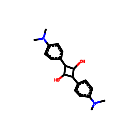 CN(C)c1ccc(C2C(O)C(c3ccc(N(C)C)cc3)C2O)cc1